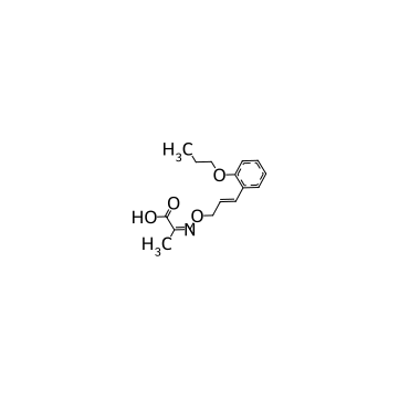 CCCOc1ccccc1C=CCON=C(C)C(=O)O